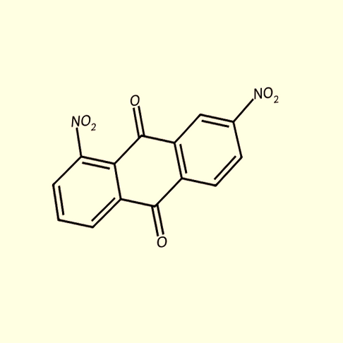 O=C1c2ccc([N+](=O)[O-])cc2C(=O)c2c1cccc2[N+](=O)[O-]